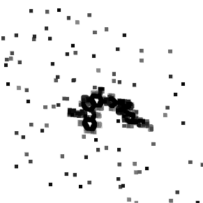 CN[C@H]1COc2cc(F)c(N3CC(NS(=O)(=O)c4cn(C)cn4)C3)cc2[C@H]1Cc1ccccc1